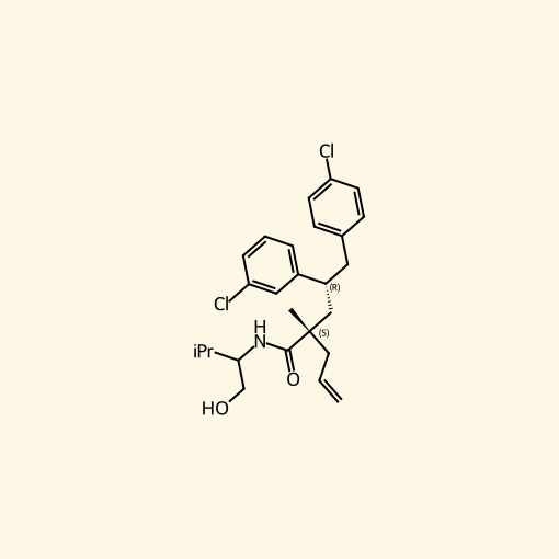 C=CC[C@@](C)(C[C@@H](Cc1ccc(Cl)cc1)c1cccc(Cl)c1)C(=O)NC(CO)C(C)C